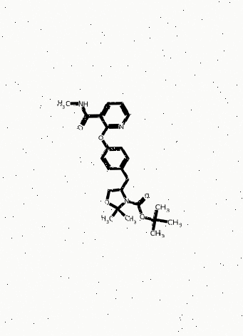 CNC(=O)c1cccnc1Oc1ccc(CC2COC(C)(C)N2C(=O)OC(C)(C)C)cc1